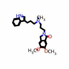 COc1cc2c(cc1OC)C(=O)N(CCCN(C)CCCc1c[nH]c3ccccc13)C2